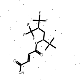 CC(C)(C)C(CC(C(F)(F)F)C(F)(F)F)OC(=O)C=CC(=O)O